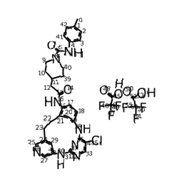 Cc1ccc(NC(=O)N2CCC(CC(=O)Nc3ccc4cc3CCc3cncc(c3)Nc3ncc(Cl)c(n3)N4)CC2)cc1.O=C(O)C(F)(F)F.O=C(O)C(F)(F)F